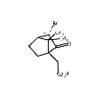 CC1(C)C2CCC1(CS(=O)(=O)O)C(=O)[C@H]2Br